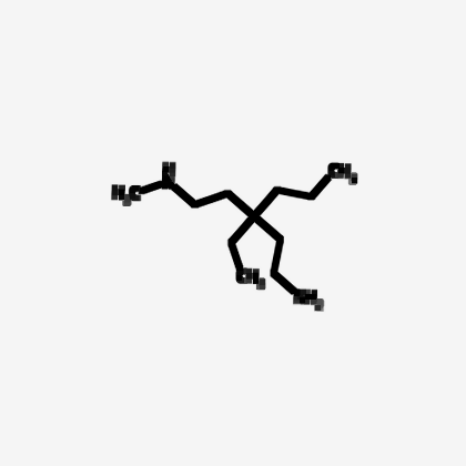 CCCC(CC)(CCN)CCNC